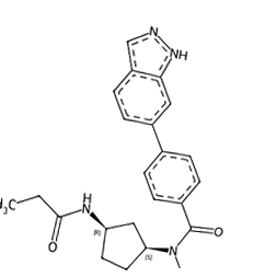 CCC(=O)N[C@@H]1CC[C@H](N(C)C(=O)c2ccc(-c3ccc4cn[nH]c4c3)cc2)C1